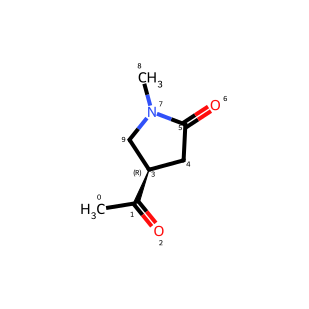 CC(=O)[C@@H]1CC(=O)N(C)C1